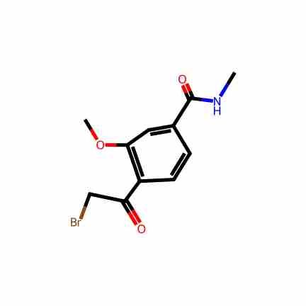 CNC(=O)c1ccc(C(=O)CBr)c(OC)c1